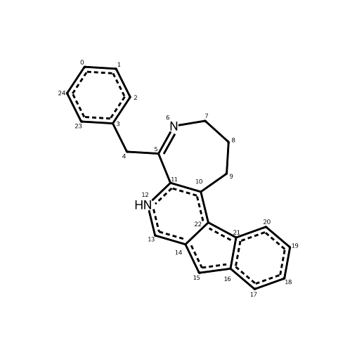 c1ccc(CC2=NCCCc3c2[nH]cc2cc4ccccc4c3-2)cc1